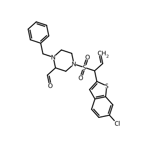 C=CC(c1cc2ccc(Cl)cc2s1)S(=O)(=O)N1CCN(Cc2ccccc2)C(C=O)C1